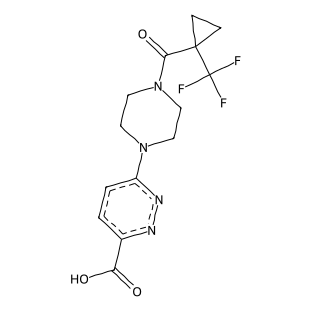 O=C(O)c1ccc(N2CCN(C(=O)C3(C(F)(F)F)CC3)CC2)nn1